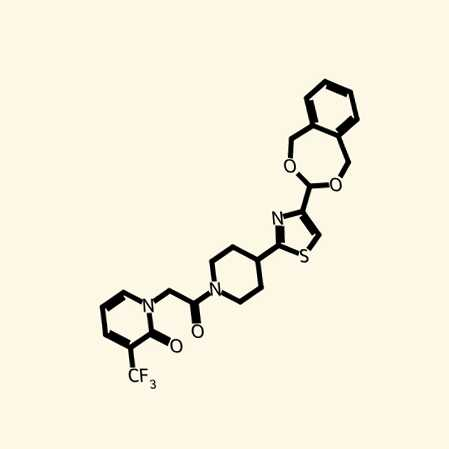 O=C(Cn1cccc(C(F)(F)F)c1=O)N1CCC(c2nc(C3OCc4ccccc4CO3)cs2)CC1